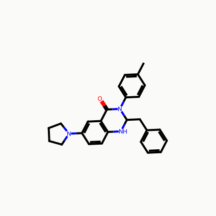 Cc1ccc(N2C(=O)c3cc(N4CCCC4)ccc3NC2Cc2ccccc2)cc1